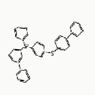 c1ccc(-c2ccc(Sc3ccc([S+](c4ccccc4)c4cccc(-c5ccccc5)c4)cc3)cc2)cc1